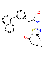 CC1(C)CC(=O)c2sc(N3CCOC[C@@H]3Cc3cccc(-c4cccc5ccccc45)c3)nc2C1